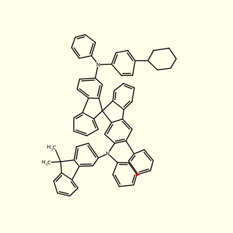 CC1(C)c2ccccc2-c2cc(N(c3ccccc3)c3cc4c(cc3-c3ccccc3)-c3ccccc3C43c4ccccc4-c4ccc(N(c5ccccc5)c5ccc(C6CCCCC6)cc5)cc43)ccc21